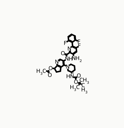 CC(=O)OC1CCc2c1ncc(NC(=O)c1nc(-c3c(F)cccc3F)c(F)cc1N)c2N1CCC[C@H](NC(=O)OC(C)(C)C)C1